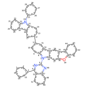 c1ccc(-c2nc(-n3c4ccc(-c5ccc6c(c5)c5ccccc5n6-c5ccccc5)cc4c4cc5c(cc43)oc3ccccc35)nc3ccccc23)cc1